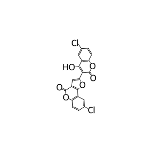 O=c1oc2ccc(Cl)cc2c(O)c1-c1cc2c(=O)oc3ccc(Cl)cc3c2o1